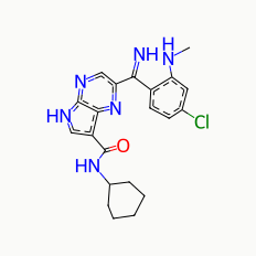 CNc1cc(Cl)ccc1C(=N)c1cnc2[nH]cc(C(=O)NC3CCCCC3)c2n1